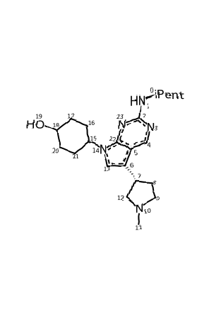 CCC[C@H](C)Nc1ncc2c([C@@H]3CCN(C)C3)cn(C3CCC(O)CC3)c2n1